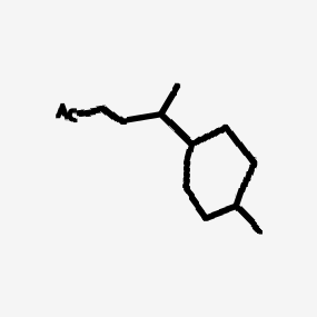 CC(=O)CCC(C)C1CCC(C)CC1